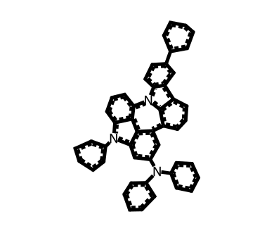 c1ccc(-c2ccc3c(c2)c2cccc4c5cc(N(c6ccccc6)c6ccccc6)cc6c5c5c(cccc5n3c42)n6-c2ccccc2)cc1